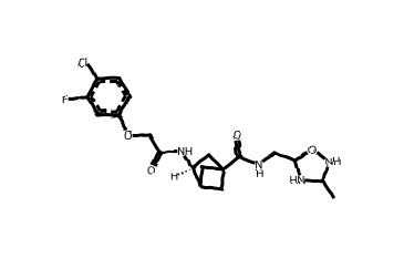 CC1NOC(CNC(=O)C23CC(C2)[C@@H](NC(=O)COc2ccc(Cl)c(F)c2)C3)N1